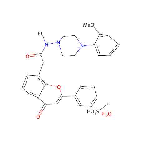 CCN(C(=O)Cc1cccc2c(=O)cc(-c3ccccc3)oc12)N1CCN(c2ccccc2OC)CC1.CS(=O)(=O)O.O